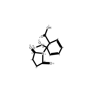 O=C(O)C1C=CC=CC1(N1C(=O)CCC1=O)[N+](=O)[O-]